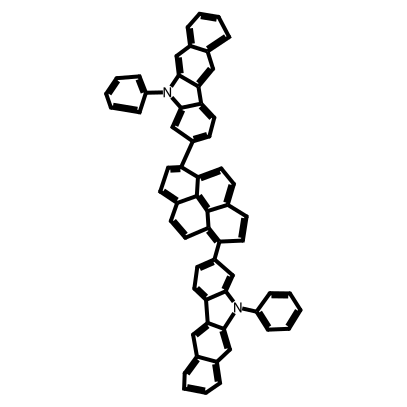 c1ccc(-n2c3cc(-c4ccc5ccc6c(-c7ccc8c9cc%10ccccc%10cc9n(-c9ccccc9)c8c7)ccc7ccc4c5c76)ccc3c3cc4ccccc4cc32)cc1